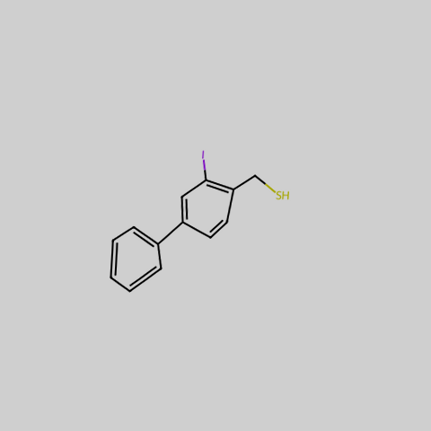 SCc1ccc(-c2ccccc2)cc1I